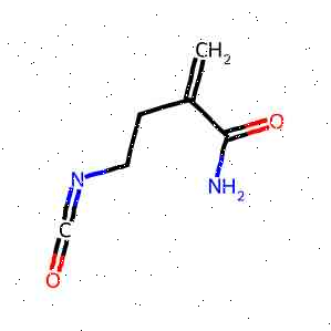 C=C(CCN=C=O)C(N)=O